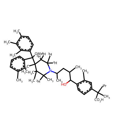 [2H]C1([2H])N(C(C)CC(C)C(O)c2ccc(C(C)(C(=O)O)C(C)C)cc2C)C([2H])(C)C(C)(C)C(C)(C(OC)(c2cccc(C)c2C)c2ccc(C)c(C)c2C)C1([2H])[2H]